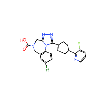 O=C(O)N1Cc2cc(Cl)ccc2-n2c(nnc2C2CCC(c3ncccc3F)CC2)C1